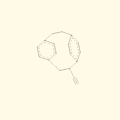 C#CC1Cc2ccc(cc2)CCc2ccc1cc2